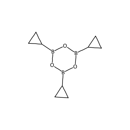 C1CC1B1OB(C2CC2)OB(C2CC2)O1